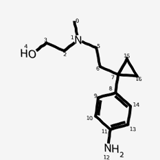 CN(CCO)CCC1(c2ccc(N)cc2)CC1